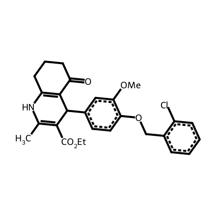 CCOC(=O)C1=C(C)NC2=C(C(=O)CCC2)C1c1ccc(OCc2ccccc2Cl)c(OC)c1